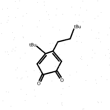 CC(C)(C)CCC1=CC(=O)C(=O)C=C1C(C)(C)C